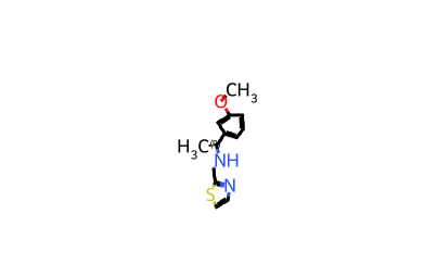 COc1cccc([C@@H](C)NCc2nccs2)c1